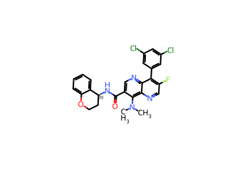 CN(C)c1c(C(=O)N[C@H]2CCOc3ccccc32)cnc2c(-c3cc(Cl)cc(Cl)c3)c(F)cnc12